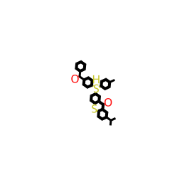 Cc1ccc([SH](c2ccc(C(=O)c3ccccc3)cc2)c2ccc3sc4ccc(C(C)C)cc4c(=O)c3c2)cc1